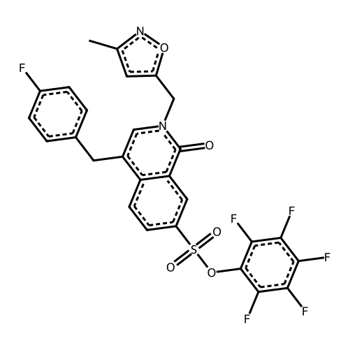 Cc1cc(Cn2cc(Cc3ccc(F)cc3)c3ccc(S(=O)(=O)Oc4c(F)c(F)c(F)c(F)c4F)cc3c2=O)on1